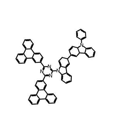 C1=CC2C(C=C1C1C=c3c(n(-c4nc(-c5ccc6c7ccccc7c7ccccc7c6c5)nc(-c5ccc6c7ccccc7c7ccccc7c6c5)n4)c4ccccc34)=CC1)c1ccccc1N2c1ccccc1